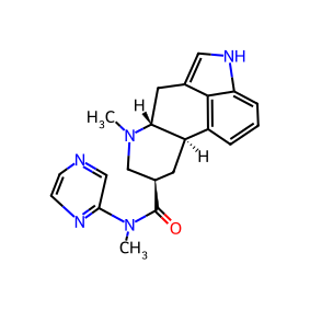 CN(C(=O)[C@@H]1C[C@@H]2c3cccc4[nH]cc(c34)C[C@H]2N(C)C1)c1cnccn1